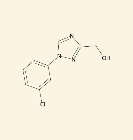 OCc1ncn(-c2cccc(Cl)c2)n1